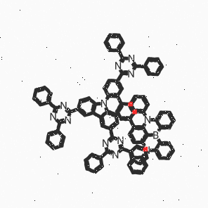 c1ccc(-c2nc(-c3ccccc3)nc(-c3ccc(-n4c5ccc(-c6nc(-c7ccccc7)nc(-c7ccccc7)n6)cc5c5cc(-c6nc(-c7ccccc7)nc(-c7ccccc7)n6)ccc54)c(-c4ccc(-c5ccc6c7c5N(c5ccccc5)c5ccccc5B7c5ccccc5N6c5ccccc5)cc4)c3)n2)cc1